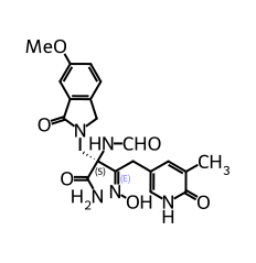 COc1ccc2c(c1)C(=O)N(C[C@@](NC=O)(C(N)=O)/C(Cc1c[nH]c(=O)c(C)c1)=N/O)C2